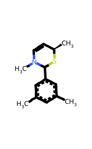 Cc1cc(C)cc(C2S[C@H](C)C=CN2C)c1